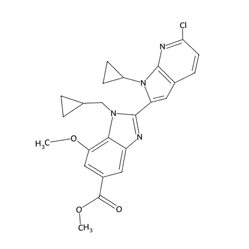 COC(=O)c1cc(OC)c2c(c1)nc(-c1cc3ccc(Cl)nc3n1C1CC1)n2CC1CC1